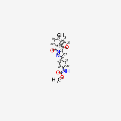 COC(=O)Nc1ccc(C2=NN(C(=O)c3ccc(C)cc3)C(c3ccco3)C2)cc1